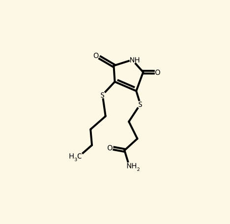 CCCCSC1=C(SCCC(N)=O)C(=O)NC1=O